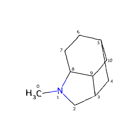 CN1CC2CC3CCC1C2C3